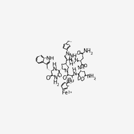 CC[C@H](C)[C@H](NC(=O)[C@H](CC(N)=O)NC(=O)[C@@H](N)CC(N)=O)C(=O)N1CC(C2=CN(c3cc[cH-]c3)NN2)C[C@H]1C(=O)N[C@@H](Cc1c[nH]c2ccccc12)C(N)=O.[Fe+2].c1cc[cH-]c1